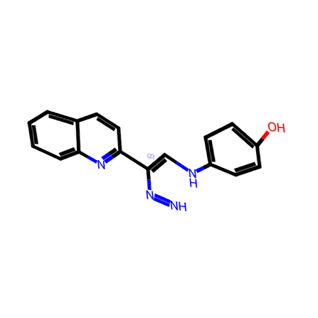 N=N/C(=C\Nc1ccc(O)cc1)c1ccc2ccccc2n1